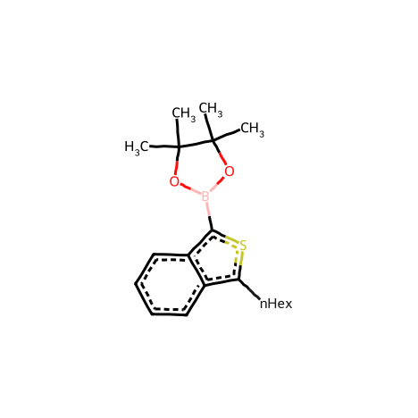 CCCCCCc1sc(B2OC(C)(C)C(C)(C)O2)c2ccccc12